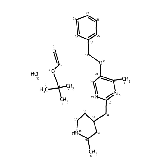 CC(C)(C)OC=O.Cc1nc(CC2CCNC(C)C2)ncc1OCc1ccccc1.Cl